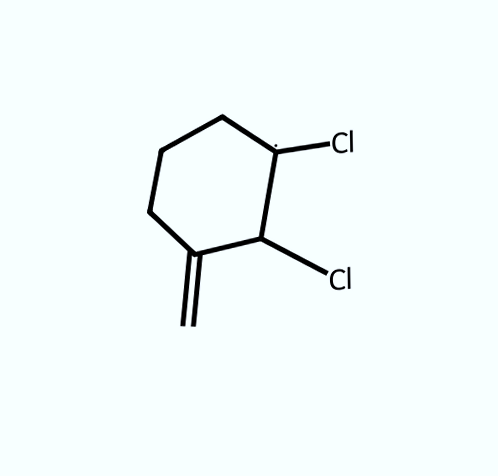 C=C1CCC[C](Cl)C1Cl